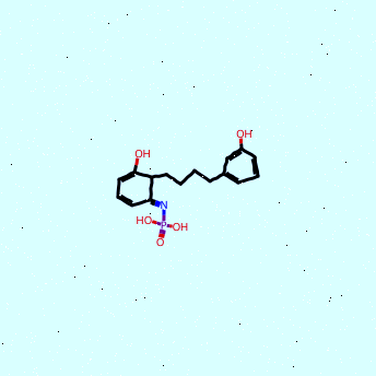 O=P(O)(O)N=C1C=CC=C(O)C1CCCCc1cccc(O)c1